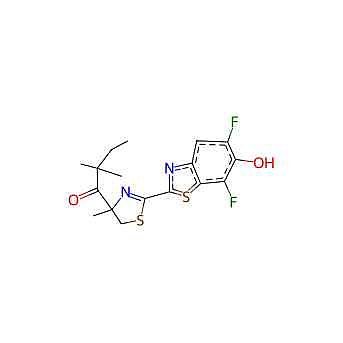 CCC(C)(C)C(=O)C1(C)CSC(c2nc3cc(F)c(O)c(F)c3s2)=N1